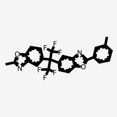 Cc1cccc(-c2nc3cc(C(c4ccc5oc(C)nc5c4)(C(F)(F)F)C(F)(F)F)ccc3o2)c1